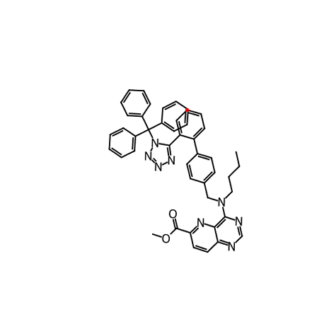 CCCCN(Cc1ccc(-c2ccccc2-c2nnnn2C(c2ccccc2)(c2ccccc2)c2ccccc2)cc1)c1ncnc2ccc(C(=O)OC)nc12